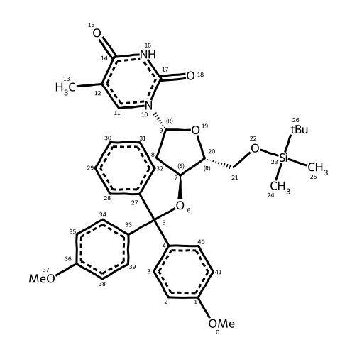 COc1ccc(C(O[C@H]2C[C@H](n3cc(C)c(=O)[nH]c3=O)O[C@@H]2CO[Si](C)(C)C(C)(C)C)(c2ccccc2)c2ccc(OC)cc2)cc1